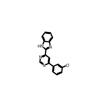 Clc1cccc(-c2cc(-c3nc4ccccc4[nH]3)ncn2)c1